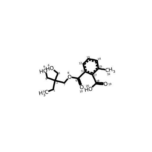 CCC(CO)(CO)COC(=O)c1cccc(C)c1C(=O)O